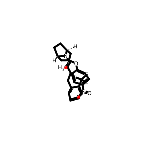 C[C@@]1(Oc2ccc([N+](=O)[O-])cc2)C[C@H]2CC[C@@H](C1)N2CCCCc1ccccc1C(F)(F)F